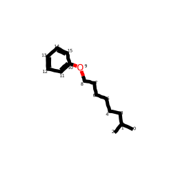 CC(C)CCCCCCOc1cc[c]cc1